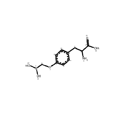 NC(Cc1ccc(OCB(O)O)cc1)C(=O)O